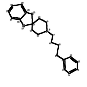 c1ccc(CCCCN2CCC3(CC2)Oc2ccccc2O3)cc1